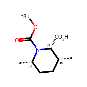 C[C@@H]1CC[C@H](C)N(C(=O)OC(C)(C)C)[C@@H]1C(=O)O